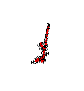 CC[C@@]1(O)C(=O)OCc2c1cc1n(c2=O)Cc2c-1nc1cc(F)c3c(c1c2C)N(C(=O)CNC(=O)CNC(=O)CCCNC(=O)C(CCC(=O)NCCOCCOCCOCCOCCOCCOCCOCCOC)NC(=O)CCCN1C(=O)C=CC1=O)CO3